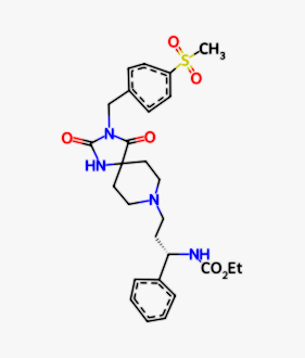 CCOC(=O)N[C@@H](CCN1CCC2(CC1)NC(=O)N(Cc1ccc(S(C)(=O)=O)cc1)C2=O)c1ccccc1